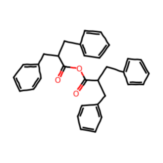 O=C(OC(=O)C(Cc1ccccc1)Cc1ccccc1)C(Cc1ccccc1)Cc1ccccc1